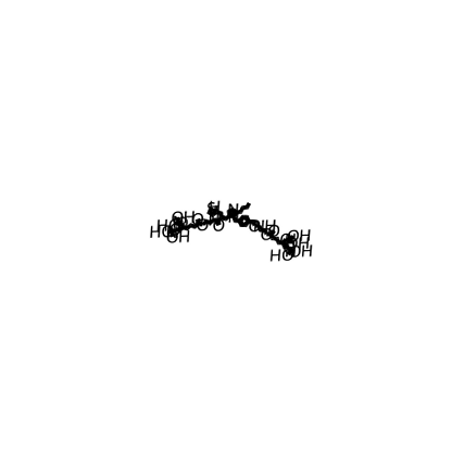 CCCCc1ncc(/C=C(\Cc2ccsc2)C(=O)NCCOC(=O)CCCC(CON(O)O)ON(O)O)n1Cc1ccc(CONCCOC(=O)CCCC(CON(O)O)ON(O)O)cc1